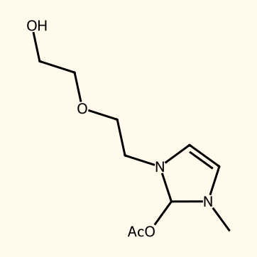 CC(=O)OC1N(C)C=CN1CCOCCO